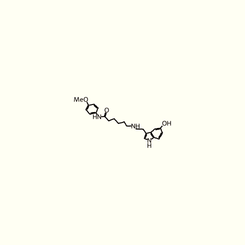 COc1ccc(NC(=O)CCCCCNCCc2c[nH]c3ccc(O)cc23)cc1